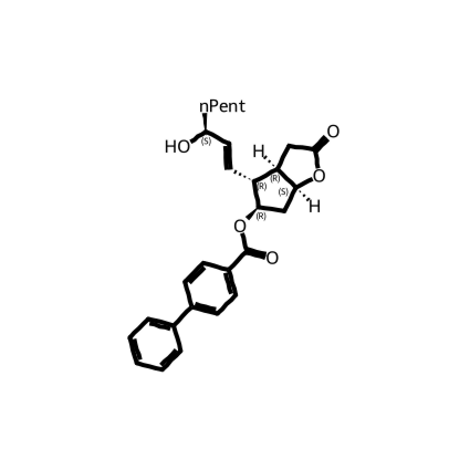 CCCCC[C@H](O)C=C[C@@H]1[C@H]2CC(=O)O[C@H]2C[C@H]1OC(=O)c1ccc(-c2ccccc2)cc1